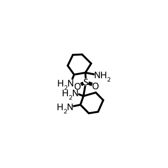 NC1CCCCC1(N)S(=O)(=O)C1(N)CCCCC1N